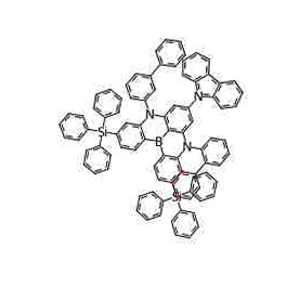 c1ccc(-c2cccc(N3c4cc([Si](c5ccccc5)(c5ccccc5)c5ccccc5)ccc4B4c5ccc([Si](c6ccccc6)(c6ccccc6)c6ccccc6)cc5N(c5ccccc5-c5ccccc5)c5cc(-n6c7ccccc7c7ccccc76)cc3c54)c2)cc1